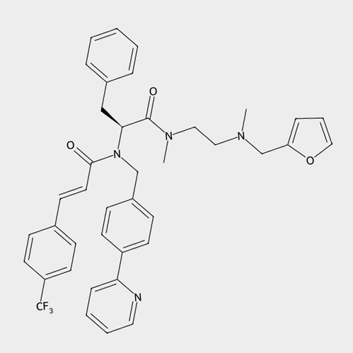 CN(CCN(C)C(=O)[C@H](Cc1ccccc1)N(Cc1ccc(-c2ccccn2)cc1)C(=O)/C=C/c1ccc(C(F)(F)F)cc1)Cc1ccco1